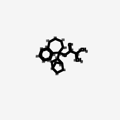 C=C(C)C(=O)OC1(C2CC3CCC2C3)CCCCc2ccccc21